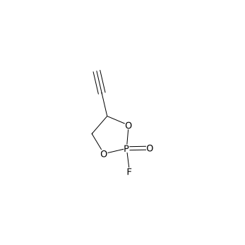 C#CC1COP(=O)(F)O1